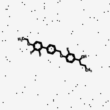 CCCC(O)c1ccc(OCc2ccc(-c3ccc(OCC)c(F)c3F)cc2)c(F)c1